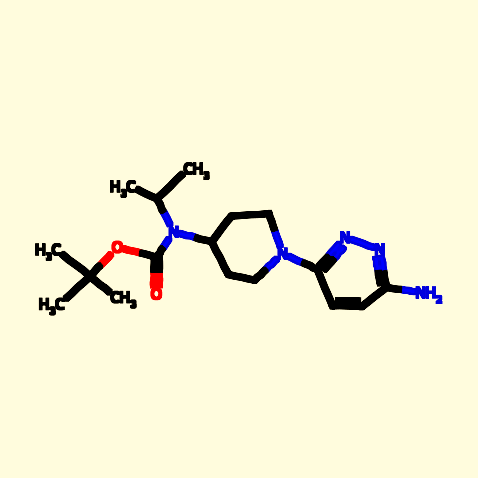 CC(C)N(C(=O)OC(C)(C)C)C1CCN(c2ccc(N)nn2)CC1